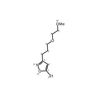 CCc1cc(CCCOCCOC)no1